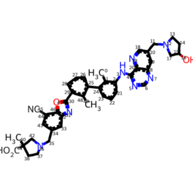 Cc1c(Nc2ncnc3cc(CN4CCC(O)C4)cnc23)cccc1-c1cccc(-c2nc3cc(CN4CCC(C)(C(=O)O)C4)cc(C#N)c3o2)c1C